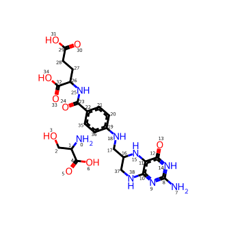 NC(CO)C(=O)O.Nc1nc2c(c(=O)[nH]1)NC(CNc1ccc(C(=O)NC(CCC(=O)O)C(=O)O)cc1)CN2